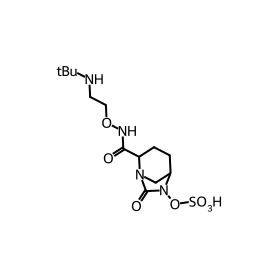 CC(C)(C)NCCONC(=O)C1CCC2CN1C(=O)N2OS(=O)(=O)O